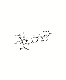 C[C@@H](O)[C@H]1C(=O)N2C(C(=O)[O-])C(Sc3ccc(C[n+]4cccc5c4CCC5)cc3)S[C@H]12